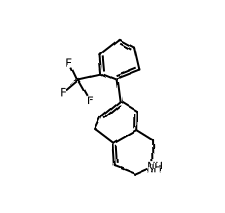 FC(F)(F)c1ccccc1C1=CCC2=CCNCC2=C1